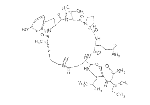 CC[C@@H](C)C(NC(=O)C(NC(=O)C1CCC(=O)NCCCC[C@H](C)C(=O)NC(Cc2ccc(O)cc2)C(=O)NC([C@H](C)O)C(=O)N2CCC[C@H]2C(=O)NC(CCC(N)=O)C(=O)N1)C(C)C)C(N)=O